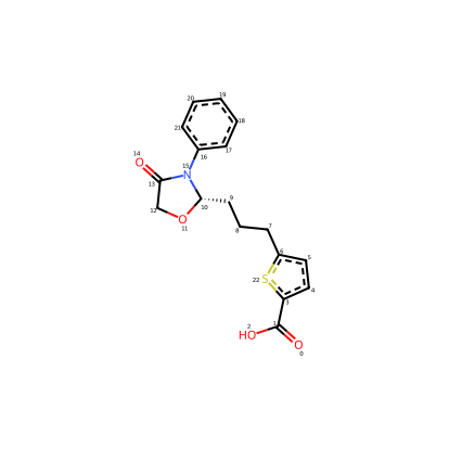 O=C(O)c1ccc(CCC[C@@H]2OCC(=O)N2c2ccccc2)s1